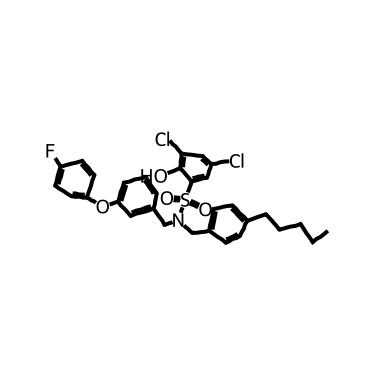 CCCCCc1ccc(CN(Cc2cccc(Oc3ccc(F)cc3)c2)S(=O)(=O)c2cc(Cl)cc(Cl)c2O)cc1